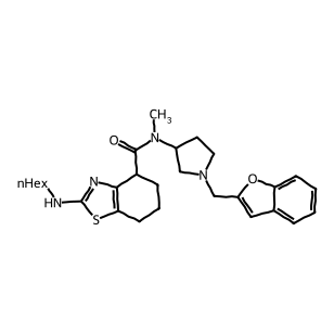 CCCCCCNc1nc2c(s1)CCCC2C(=O)N(C)C1CCN(Cc2cc3ccccc3o2)C1